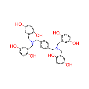 Oc1ccc(O)c(CN(Cc2ccc(CN(Cc3cc(O)ccc3O)Cc3cc(O)ccc3O)cc2)Cc2cc(O)ccc2O)c1